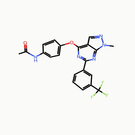 CC(=O)Nc1ccc(Oc2nc(-c3cccc(C(F)(F)F)c3)nc3c2cnn3C)cc1